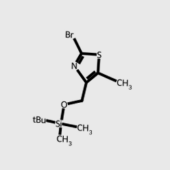 Cc1sc(Br)nc1CO[Si](C)(C)C(C)(C)C